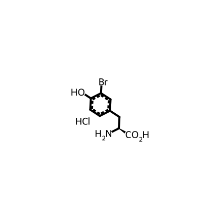 Cl.N[C@@H](Cc1ccc(O)c(Br)c1)C(=O)O